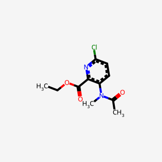 CCOC(=O)c1nc(Cl)ccc1N(C)C(C)=O